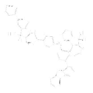 CC1(C)c2ccc(-c3ccc(N(c4ccc(-c5cccc6c5sc5ccccc56)cc4)c4cccc5c4-c4ccccc4C5(C)C)cc3)cc2-c2ccc(-c3ccccc3)cc21